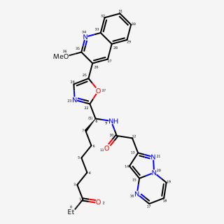 CCC(=O)CCCCC[C@H](NC(=O)Cc1cc2ncccn2n1)c1ncc(-c2cc3ccccc3nc2OC)o1